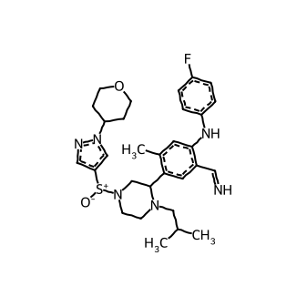 Cc1cc(Nc2ccc(F)cc2)c(C=N)cc1C1CN([S+]([O-])c2cnn(C3CCOCC3)c2)CCN1CC(C)C